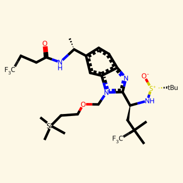 C[C@@H](NC(=O)CCC(F)(F)F)c1ccc2nc([C@H](CC(C)(C)C(F)(F)F)N[S@+]([O-])C(C)(C)C)n(COCC[Si](C)(C)C)c2c1